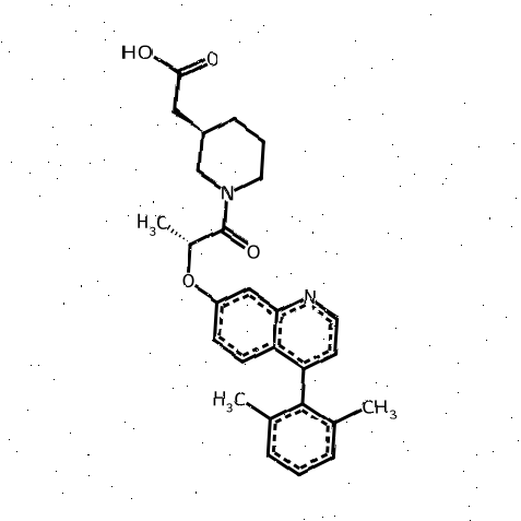 Cc1cccc(C)c1-c1ccnc2cc(O[C@H](C)C(=O)N3CCC[C@H](CC(=O)O)C3)ccc12